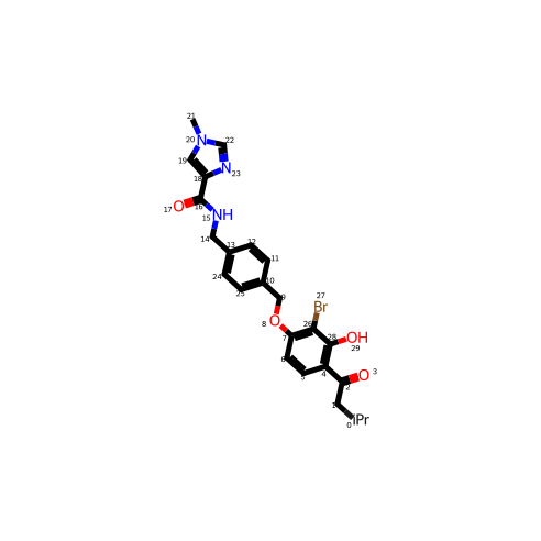 CC(C)CC(=O)c1ccc(OCc2ccc(CNC(=O)c3cn(C)cn3)cc2)c(Br)c1O